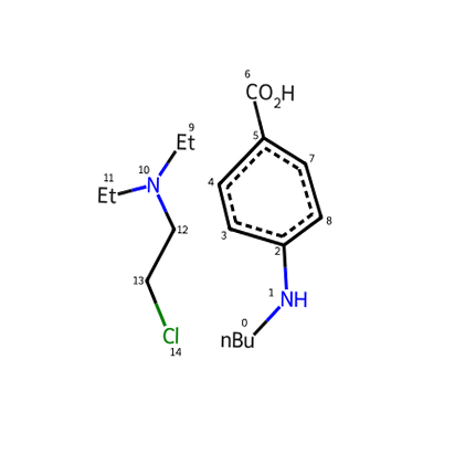 CCCCNc1ccc(C(=O)O)cc1.CCN(CC)CCCl